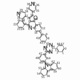 c1ccc(-c2nc(-c3ccc(-c4ccc5c(c4)nc(-c4ccccc4)c4c(-c6ccncc6)c(-c6ccncc6)oc45)cc3)nc(-c3cccc(-n4c5ccccc5c5ccccc54)c3)n2)cc1